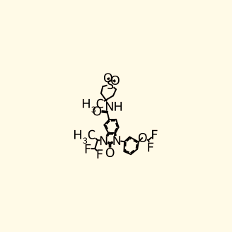 CC(C(F)F)n1c(=O)n(-c2cccc(OC(F)F)c2)c2ccc(C(=O)NC3(C)CCS(=O)(=O)CC3)cc21